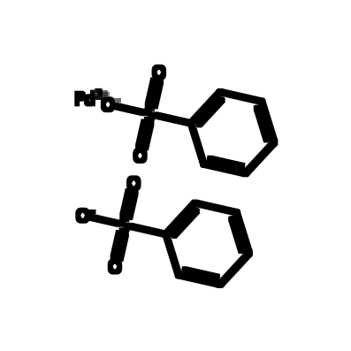 O=S(=O)([O-])c1ccccc1.O=S(=O)([O-])c1ccccc1.[Pd+2]